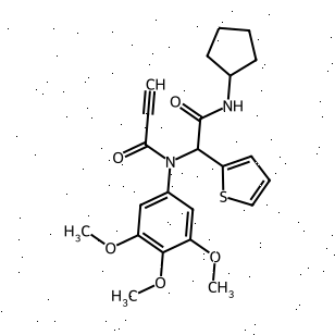 C#CC(=O)N(c1cc(OC)c(OC)c(OC)c1)C(C(=O)NC1CCCC1)c1cccs1